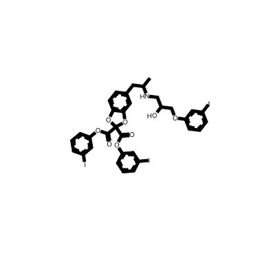 CC(Cc1ccc2c(c1)OC(C(=O)Oc1cccc(I)c1)(C(=O)Oc1cccc(I)c1)O2)NCC(O)COc1cccc(I)c1